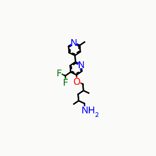 Cc1cc(-c2cc(C(F)F)c(OCC(C)CC(C)CN)cn2)ccn1